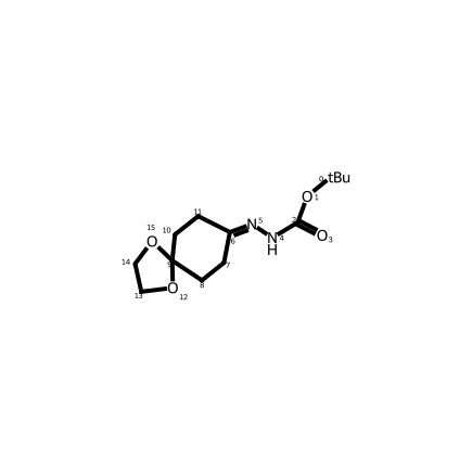 CC(C)(C)OC(=O)NN=C1CCC2(CC1)OCCO2